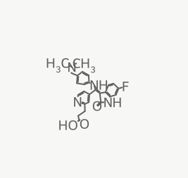 CN(C)Cc1ccc(NC(=C2C(=O)Nc3cc(F)ccc32)c2ccnc(CCC(=O)O)c2)cc1